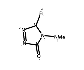 CCC1N=NC(=O)N1NC